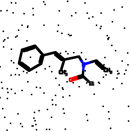 C=CN(C/C(C)=C/c1ccccc1)C(=O)CC